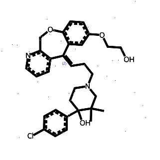 CC1(C)CN(CC/C=C2\c3cc(OCCO)ccc3OCc3ncccc32)CCC1(O)c1ccc(Cl)cc1